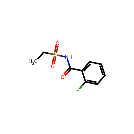 CCS(=O)(=O)NC(=O)c1ccccc1F